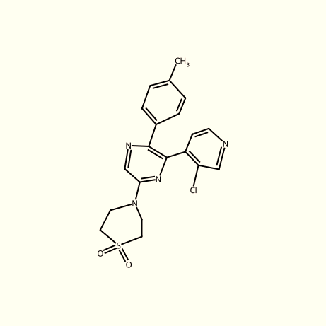 Cc1ccc(-c2ncc(N3CCS(=O)(=O)CC3)nc2-c2ccncc2Cl)cc1